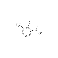 [O-][S+](Cl)c1cccc(C(F)(F)F)c1Cl